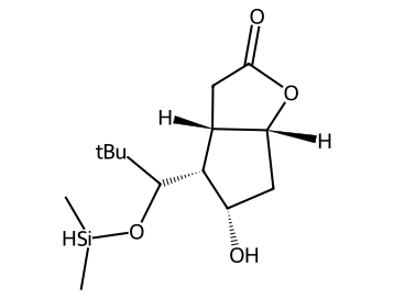 C[SiH](C)OC([C@@H]1[C@@H]2CC(=O)O[C@@H]2C[C@@H]1O)C(C)(C)C